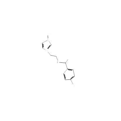 CC(NCC[n+]1ccn(C)c1)c1ccc(N)cc1.[Cl-]